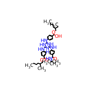 CCCCC(CC)COC(=O)c1ccc(NC2NC(Nc3ccc(C(=O)NC(C)(C)C)cc3)NC(Nc3ccc(C(O)OCC(CC)CCCC)cc3)N2)cc1